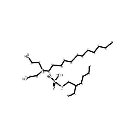 CCCCC(CC)COP(=O)(O)O.CCCCCCCCCCCCN(CCO)CCO